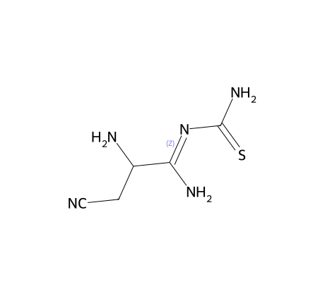 N#CCC(N)/C(N)=N/C(N)=S